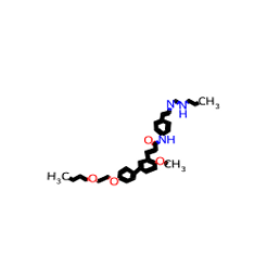 CCCCOCCOc1ccc(-c2ccc(OC)c(/C=C/C(=O)Nc3ccc(/C=C/N=C\NCCC)cc3)c2)cc1